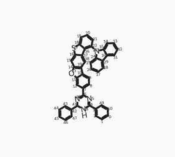 c1ccc(C2=NC(c3ccc4c(c3)oc3cc5sc6cccc(-n7c8ccccc8c8ccccc87)c6c5cc34)=NC(c3ccccc3)N2)cc1